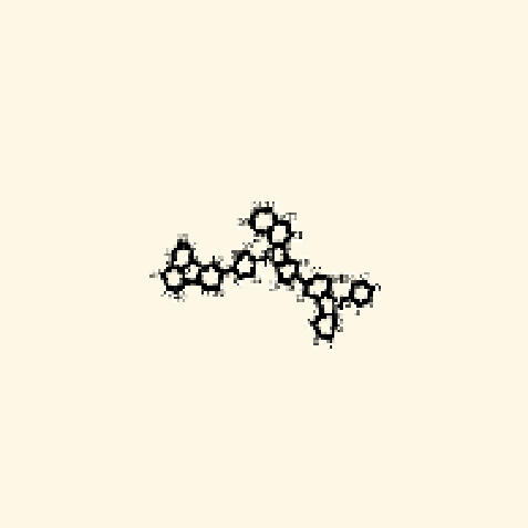 c1ccc(-n2c3ccccc3c3cc(-c4ccc5c(c4)c4ccc6ccccc6c4n5-c4ccc(-c5ccc6c(c5)-c5cccc7cccc-6c57)cc4)ccc32)cc1